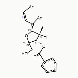 CC(=O)/C=C\N(C(C)=O)[C@@H]1O[C@](F)(CO)[C@@H](OC(=O)c2ccccc2)[C@@]1(C)F